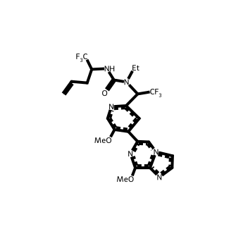 C=CCC(NC(=O)N(CC)C(c1cc(-c2cn3ccnc3c(OC)n2)c(OC)cn1)C(F)(F)F)C(F)(F)F